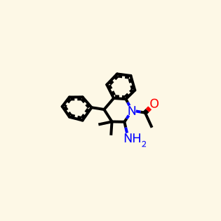 CC(=O)N1c2ccccc2C(c2ccccc2)C(C)(C)C1N